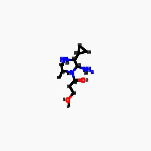 COCCC(=O)N1C(C)[CH]NC(C2CC2)C1N